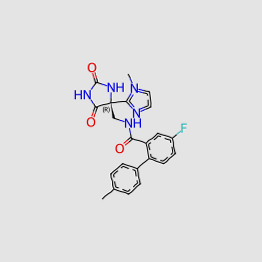 Cc1ccc(-c2ccc(F)cc2C(=O)NC[C@]2(c3nccn3C)NC(=O)NC2=O)cc1